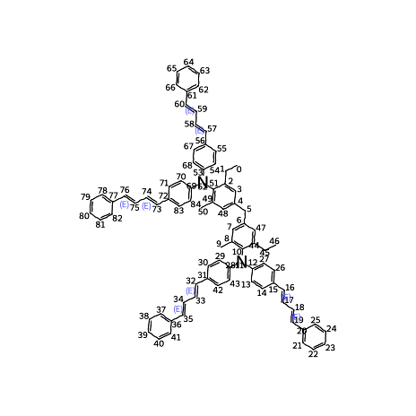 CCc1cc(Cc2cc(C)c(N(c3ccc(/C=C/C=C/c4ccccc4)cc3)c3ccc(/C=C/C=C/c4ccccc4)cc3)c(CC)c2)cc(C)c1N(c1ccc(/C=C/C=C/c2ccccc2)cc1)c1ccc(/C=C/C=C/c2ccccc2)cc1